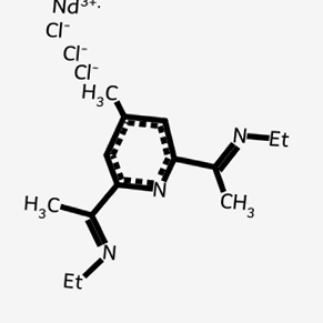 CCN=C(C)c1cc(C)cc(C(C)=NCC)n1.[Cl-].[Cl-].[Cl-].[Nd+3]